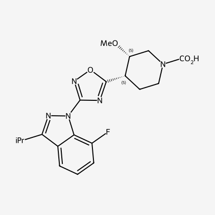 CO[C@@H]1CN(C(=O)O)CC[C@@H]1c1nc(-n2nc(C(C)C)c3cccc(F)c32)no1